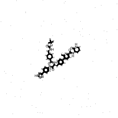 Cc1nc(C(=O)N[C@H]2CCCNC2=O)ccc1-c1ccc(C[C@H](NC(=O)C2CCC(CNC(=O)OC(C)(C)C)CC2)C(=O)Nc2ccc(-c3nn[nH]n3)cc2)cc1